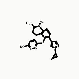 CC(=O)N1c2ccc(-c3cnn(C4CC4)c3)c(Oc3ccc(C#N)nn3)c2CCC1C